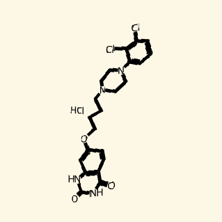 Cl.O=c1[nH]c(=O)c2ccc(OCCCCN3CCN(c4cccc(Cl)c4Cl)CC3)cc2[nH]1